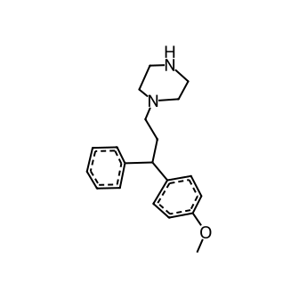 COc1ccc(C(CCN2CCNCC2)c2ccccc2)cc1